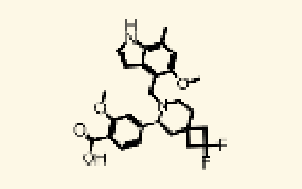 COc1cc([C@@H]2CC3(CCN2Cc2c(OC)cc(C)c4[nH]ccc24)CC(F)(F)C3)ccc1C(=O)O